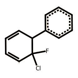 FC1(Cl)[C]=CC=CC1c1ccccc1